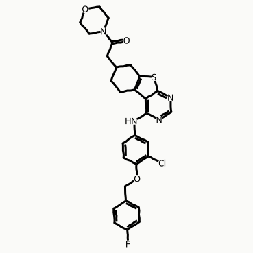 O=C(CC1CCc2c(sc3ncnc(Nc4ccc(OCc5ccc(F)cc5)c(Cl)c4)c23)C1)N1CCOCC1